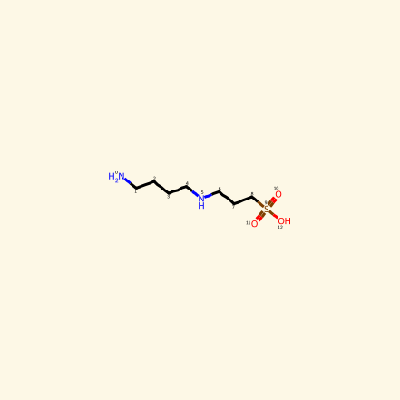 NCCCCNCCCS(=O)(=O)O